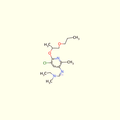 CCCOCC(C)Oc1nc(C)c(/N=C\N(C)CC)cc1Cl